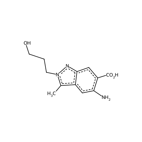 Cc1c2cc(N)c(C(=O)O)cc2nn1CCCO